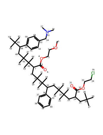 COCCOC(=O)C(CC(C)(C)C(C)(C)C(CC(C)(C)C(C)(C)CC(CC(C)(C)C)C(=O)OCCCl)c1ccccc1)C(C)(C)C(C)(C)CC(c1ccc(CN(C)C)cc1)C(C)(C)C